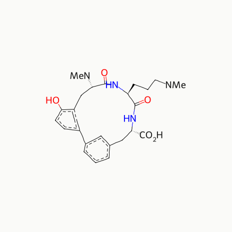 CNCCC[C@@H]1NC(=O)[C@@H](NC)Cc2cc(ccc2O)-c2cccc(c2)C[C@@H](C(=O)O)NC1=O